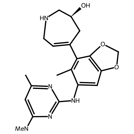 CNc1cc(C)nc(Nc2cc3c(c(C4=CCNC[C@@H](O)C4)c2C)OCO3)n1